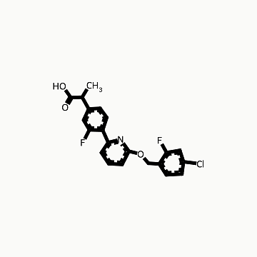 CC(C(=O)O)c1ccc(-c2cccc(OCc3ccc(Cl)cc3F)n2)c(F)c1